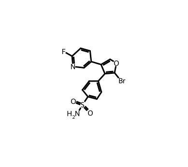 NS(=O)(=O)c1ccc(-c2c(-c3ccc(F)nc3)coc2Br)cc1